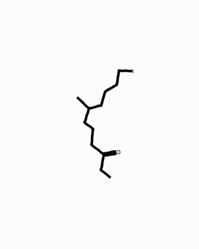 CCC(=O)CCCC(C)CCCCI